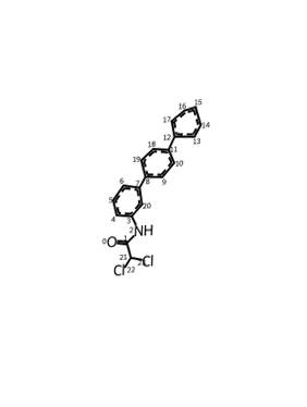 O=C(Nc1cccc(-c2ccc(-c3ccccc3)cc2)c1)C(Cl)Cl